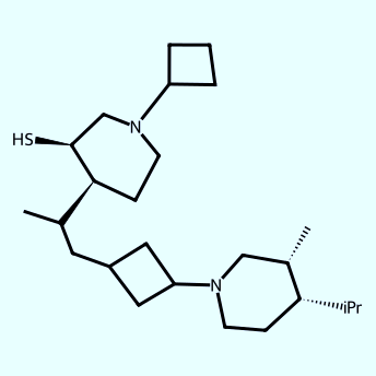 CC(C)[C@@H]1CCN(C2CC(CC(C)[C@@H]3CCN(C4CCC4)C[C@@H]3S)C2)C[C@@H]1C